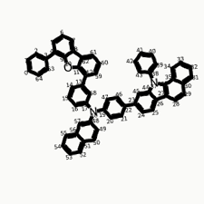 c1ccc(-c2cccc3c2oc2c(-c4cccc(N(c5ccc(-c6ccc7c8ccc9ccccc9c8n(-c8ccccc8)c7c6)cc5)c5ccc6ccccc6c5)c4)cccc23)cc1